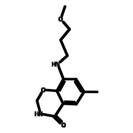 COCCCNc1cc(C)cc2c1OCNC2=O